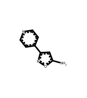 Nc1cc(-c2ccncc2)no1